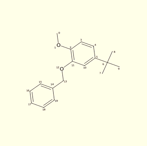 COc1ccc(C(C)(C)C)cc1OCc1ccccc1